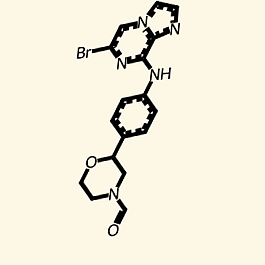 O=CN1CCOC(c2ccc(Nc3nc(Br)cn4ccnc34)cc2)C1